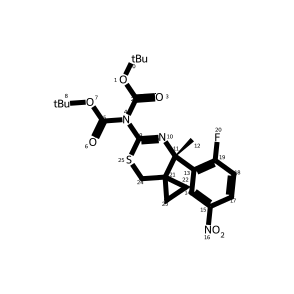 CC(C)(C)OC(=O)N(C(=O)OC(C)(C)C)C1=N[C@](C)(c2cc([N+](=O)[O-])ccc2F)C2(CC2)CS1